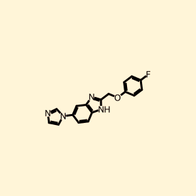 Fc1ccc(OCc2nc3cc(-n4ccnc4)ccc3[nH]2)cc1